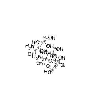 N[C@@H](C=O)[C@@H](O)[C@H](O)[C@H](O)CO.N[C@@H](C=O)[C@@H](O)[C@H](O)[C@H](O)CO.O=C(O)CCC(=O)O